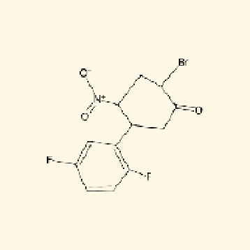 O=C1CC(c2cc(F)ccc2F)C([N+](=O)[O-])CC1Br